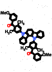 COc1cccc(C(=O)c2c(C)cc(-n3c4ccccc4c4c3ccc3c5ccccc5n(-c5cc(C)c(C(=O)c6cccc(OC)c6)c(C)c5)c34)cc2C)c1